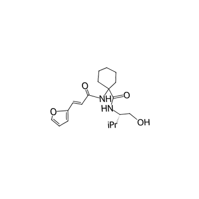 CC(C)[C@@H](CO)NC(=O)C1(NC(=O)/C=C/c2ccco2)CCCCC1